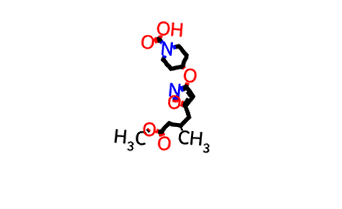 COC(=O)C[C@@H](C)Cc1cc(OC2CCN(C(=O)O)CC2)no1